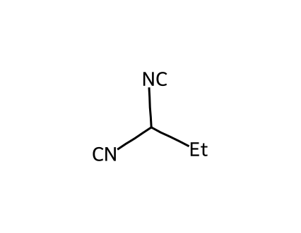 [C-]#[N+]C(CC)[N+]#[C-]